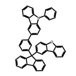 c1ccc(-n2c3ccccc3c3cc(-c4cccc(C5(c6ccc7oc8ccccc8c7c6)c6ccccc6-c6ccccc65)c4)ccc32)cc1